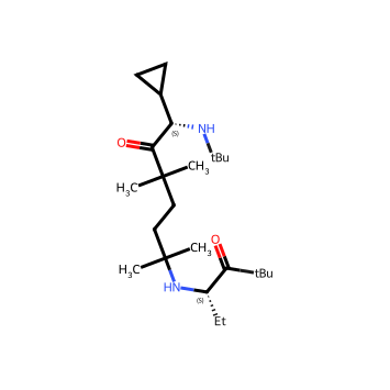 CC[C@H](NC(C)(C)CCC(C)(C)C(=O)[C@@H](NC(C)(C)C)C1CC1)C(=O)C(C)(C)C